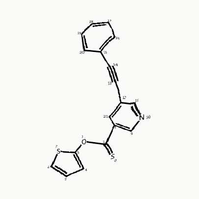 S=C(Oc1cccs1)c1cncc(C#Cc2ccccc2)c1